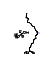 CCCCCCCC/C=C\CCCCCCCC(=O)O.O=S(=O)(O)O.[KH]